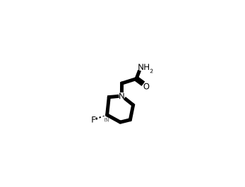 NC(=O)CN1CCC[C@H](F)C1